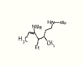 CC=C(NC)C(CC)C(C)CCNC(C)(C)C